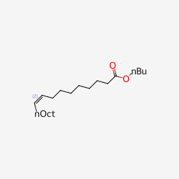 CCCCCCCC/C=C\CCCCCCCC(=O)OCCCC